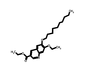 CCCCCCCCCCOc1cc2cc(C(=O)OCC)cnc2cc1OCC